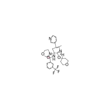 [2H]C1(OC2=NC(C)=C(c3cccnc3)CC2(NC(=O)c2cccc(C(F)(F)F)c2)N2CCOCC2)CCOCC1